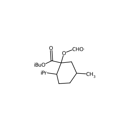 CC(C)COC(=O)C1(O[C]=O)CC(C)CCC1C(C)C